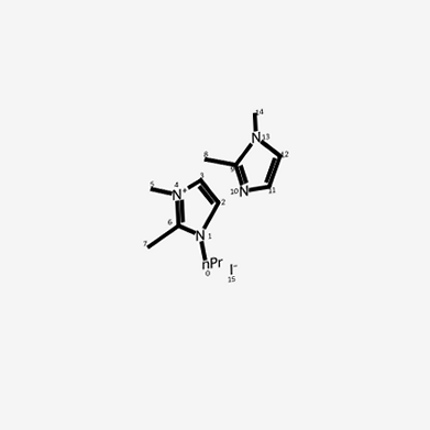 CCCn1cc[n+](C)c1C.Cc1nccn1C.[I-]